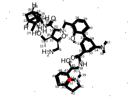 COc1c(CN2O[C@@H](CN)[C@@H]([C@H](C)O)[C@H]2C(=O)N[C@@H]2C[C@H]3C[C@@H]([C@@H]2C)C3(C)C)cccc1-c1cc(C(=O)N[C@H](CN2CCCC2)[C@H](O)c2ccccc2)cc(N(C)C)c1